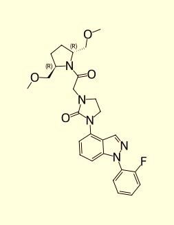 COC[C@H]1CC[C@H](COC)N1C(=O)CN1CCN(c2cccc3c2cnn3-c2ccccc2F)C1=O